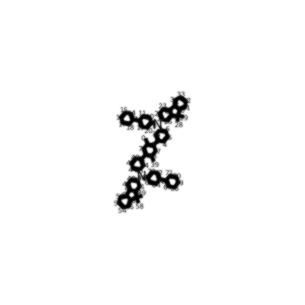 CC1=C(c2cccc(N(c3ccc(-c4ccccc4)cc3)c3ccc4c(c3)C(C)(C)c3ccccc3-4)c2)CC(C)C(c2cccc(N(C3=CC=C4c5ccccc5C(C)(C)C4C3)c3ccc(C4=CCCC=C4)cc3)c2)=C1